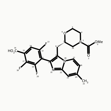 COC(=O)N1CCO[C@@H](Cc2c(-c3c(F)cc(C(=O)O)c(F)c3F)nc3cc(C)ccn23)C1